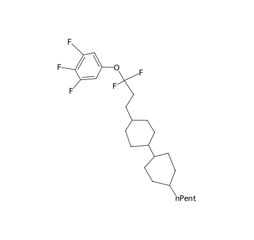 CCCCCC1CCC(C2CCC(CCC(F)(F)Oc3cc(F)c(F)c(F)c3)CC2)CC1